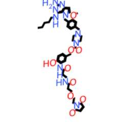 CCCCCNc1nc(N)nc2ccn(Cc3ccc(CN4CCN(C(=O)OCc5ccc(O)c(NC(=O)CCNC(=O)CCOCCN6C(=O)C=CC6=O)c5)CC4)cc3OC)c12